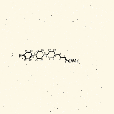 COC=CCC[C@H]1CC[C@H]([C@H]2CC[C@H](c3ccc(F)cc3)CC2)CC1